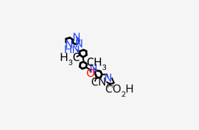 Cc1c(Nc2ncnc3cccnc23)cccc1-c1cccc(-c2nc3cc(CN4CC[C@@H](C(=O)O)C4)cc(C#N)c3o2)c1C